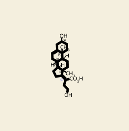 C[C@]12CC[C@H](O)CC1=CC[C@@H]1[C@@H]2CC[C@]2(C)/C(=C(/CCO)C(=O)O)CC[C@@H]12